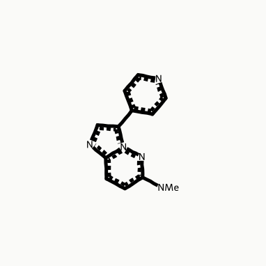 CNc1ccc2ncc(-c3ccncc3)n2n1